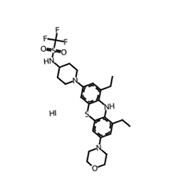 CCc1cc(N2CCOCC2)cc2c1Nc1c(CC)cc(N3CCC(NS(=O)(=O)C(F)(F)F)CC3)cc1S2.I